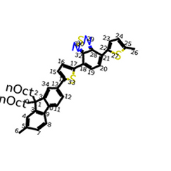 CCCCCCCCC1(CCCCCCCC)c2cc(C)ccc2-c2ccc(-c3ccc(-c4ccc(-c5ccc(C)s5)c5nsnc45)s3)cc21